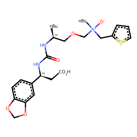 CCCC[C@@H](COC[N+]([O-])(CCCC)Cc1cccs1)NC(=O)N[C@@H](CC(=O)O)c1ccc2c(c1)OCO2